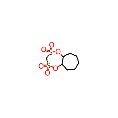 O=S1(=O)CS(=O)(=O)OC2CCCCCC2O1